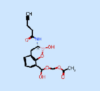 C#CCCC(=O)N[C@H]1Cc2cccc(C(O)OCOC(C)=O)c2OB1O